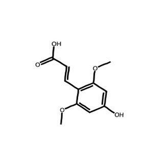 COc1cc(O)cc(OC)c1/C=C/C(=O)O